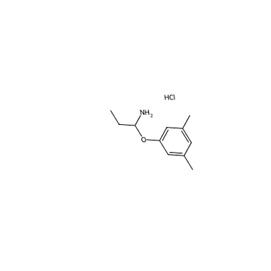 CCC(N)Oc1cc(C)cc(C)c1.Cl